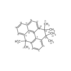 CC1(C)c2cccc3c2-c2c4c1cccc4cc[n+]2C(C)(C)C3(C)C